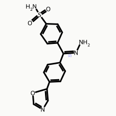 N/N=C(/c1ccc(-c2cnco2)cc1)c1ccc(S(N)(=O)=O)cc1